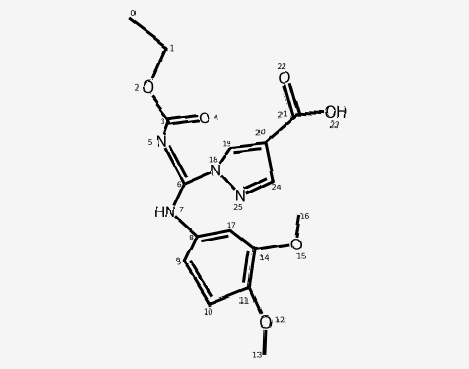 CCOC(=O)N=C(Nc1ccc(OC)c(OC)c1)n1cc(C(=O)O)cn1